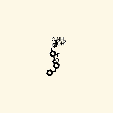 NC(=O)C1(O)CN(Cc2ccc(-c3cc4cc(Cc5ccccc5)ccc4o3)c(F)c2)C1